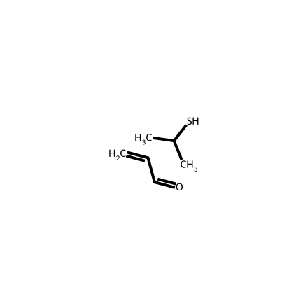 C=CC=O.CC(C)S